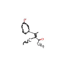 COC(=O)/C(C#N)=C(\C)c1cccc(Br)c1